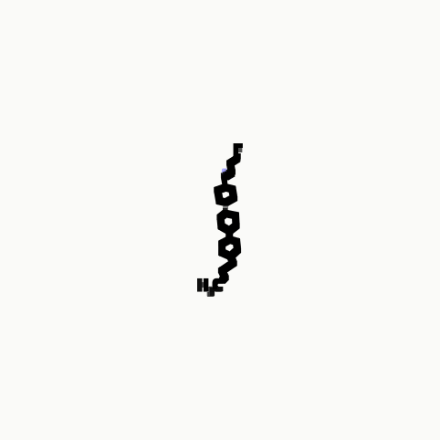 CCCCC1CCC(C2CCC([C@H]3CC[C@H](/C=C/CCF)CC3)CC2)CC1